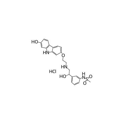 CS(=O)(=O)Nc1cccc(C(O)CNCCOc2ccc3c(c2)[nH]c2cc(O)ccc23)c1.Cl